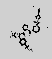 CC(F)(F)c1ccc([C@@H](CC(F)(F)F)NC(=O)[C@H]2CCCN2C(=O)[C@H]2CCCN(S(=O)(=O)N3CC(C#N)C3)C2)cc1